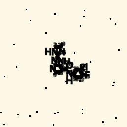 Cc1c[nH]c(-c2nc3nccc(C(=O)Nc4ccc(F)c(Cl)c4)c3[nH]2)n1